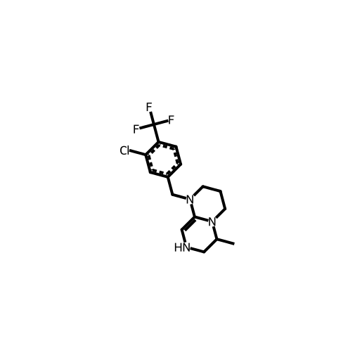 CC1CNC=C2N(Cc3ccc(C(F)(F)F)c(Cl)c3)CCCN21